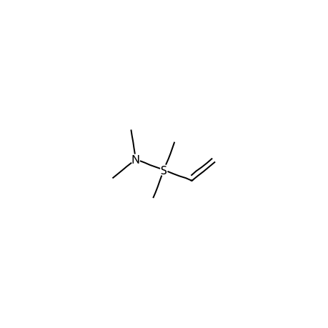 C=CS(C)(C)N(C)C